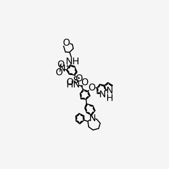 O=C(NS(=O)(=O)c1ccc(NCC2CCOCC2)c([N+](=O)[O-])c1)c1ccc(-c2ccc(N3CCCCCC3c3ccccc3)cc2)cc1Oc1cnc2[nH]ccc2c1